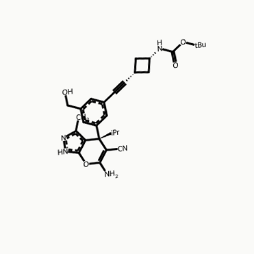 Cc1n[nH]c2c1[C@@](c1cc(C#C[C@H]3C[C@@H](NC(=O)OC(C)(C)C)C3)cc(CO)c1)(C(C)C)C(C#N)=C(N)O2